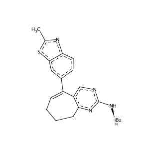 CC[C@H](C)Nc1ncc2c(n1)CCCC=C2c1ccc2nc(C)sc2c1